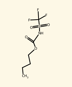 CCCCOC(=O)NS(=O)(=O)C(F)(F)F